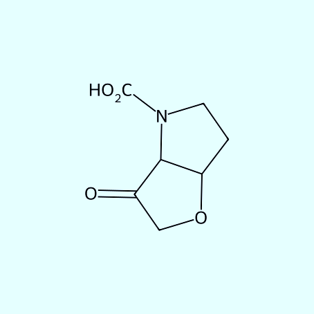 O=C1COC2CCN(C(=O)O)C12